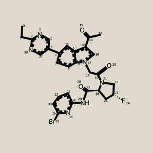 CCc1ncc(-c2ccc3c(c2)c(C(C)=O)cn3CC(=O)N2C[C@H](F)C[C@H]2C(=O)Nc2cccc(Br)n2)cn1